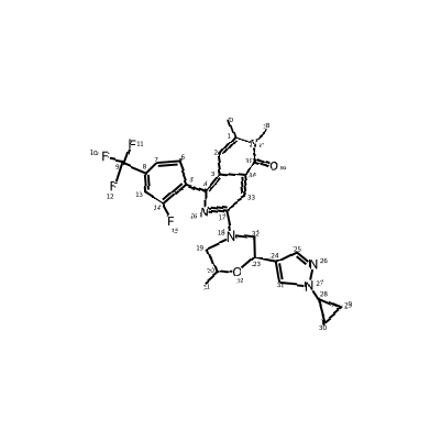 Cc1cc2c(-c3ccc(C(F)(F)F)cc3F)nc(N3CC(C)OC(c4cnn(C5CC5)c4)C3)cc2c(=O)n1C